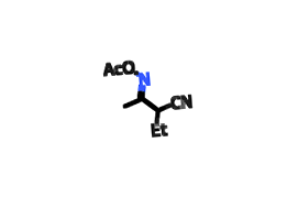 CCC(C#N)/C(C)=N/OC(C)=O